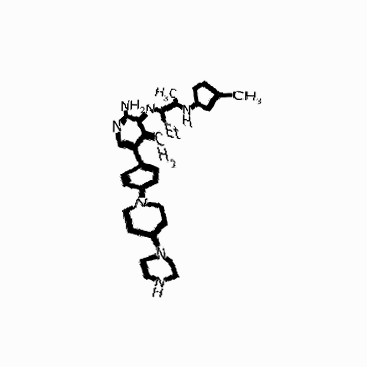 C=C1C(c2ccc(N3CCC(N4CCNCC4)CC3)cc2)=CN=C(N)/C1=N/C(CC)=C(\C)NC1CCC(C)C1